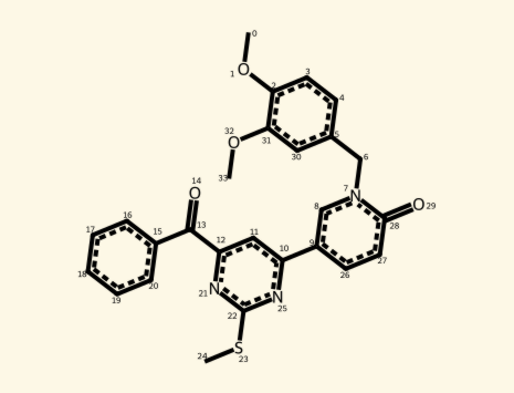 COc1ccc(Cn2cc(-c3cc(C(=O)c4ccccc4)nc(SC)n3)ccc2=O)cc1OC